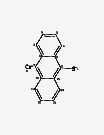 [Cs+].[S-]c1c2ccccc2cc2ccccc12